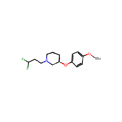 CC(C)(C)Oc1ccc(O[C@@H]2CCCN(CCC(F)F)C2)cc1